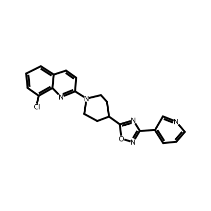 Clc1cccc2ccc(N3CCC(c4nc(-c5cccnc5)no4)CC3)nc12